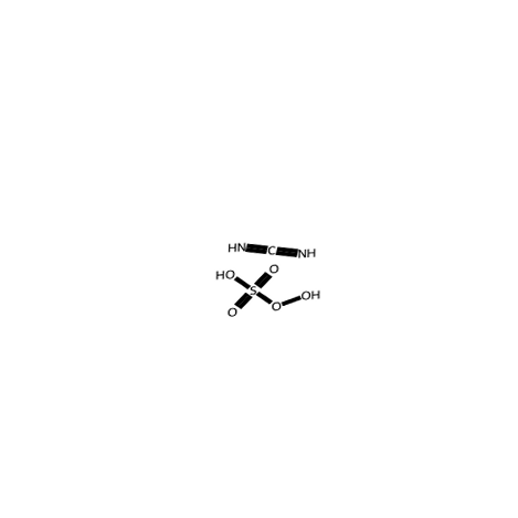 N=C=N.O=S(=O)(O)OO